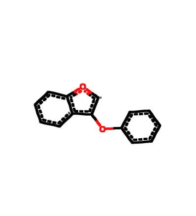 [c]1oc2ccccc2c1Oc1ccccc1